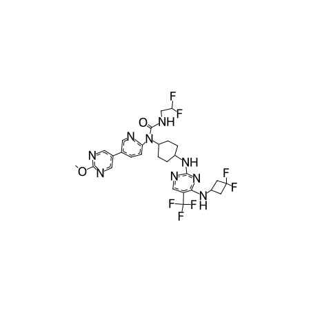 COc1ncc(-c2ccc(N(C(=O)NCC(F)F)C3CCC(Nc4ncc(C(F)(F)F)c(NC5CC(F)(F)C5)n4)CC3)nc2)cn1